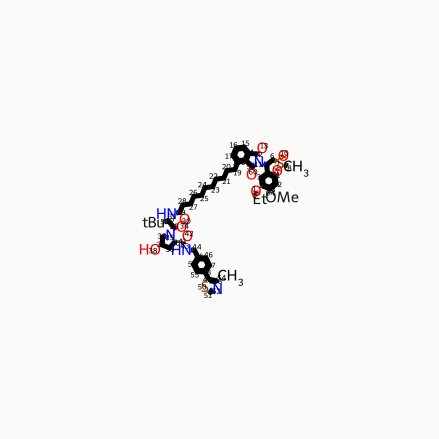 CCOc1cc(C(CS(C)(=O)=O)N2C(=O)c3cccc(CCCCCCCCCCC(=O)NC(C(=O)N4C[C@H](O)C[C@H]4C(=O)NCc4ccc(-c5scnc5C)cc4)C(C)(C)C)c3C2=O)ccc1OC